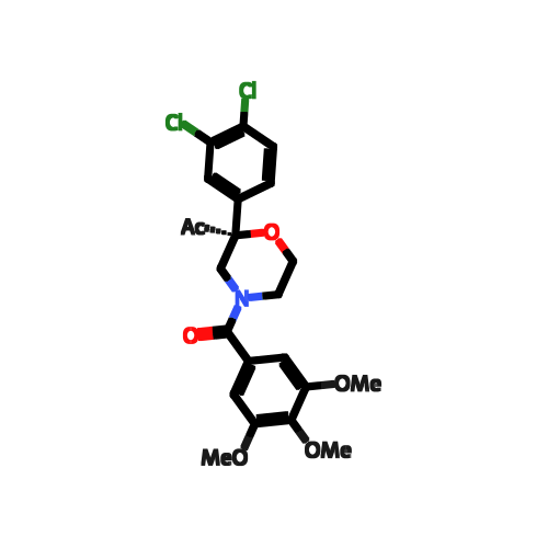 COc1cc(C(=O)N2CCO[C@](C(C)=O)(c3ccc(Cl)c(Cl)c3)C2)cc(OC)c1OC